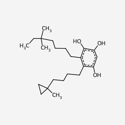 CCC(C)(C)CCCCc1c(O)c(O)cc(O)c1CCCCC1(C)CC1